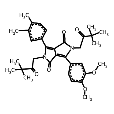 COc1ccc(C2=C3C(=O)N(CC(=O)C(C)(C)C)C(c4ccc(C)c(C)c4)=C3C(=O)N2CC(=O)C(C)(C)C)cc1OC